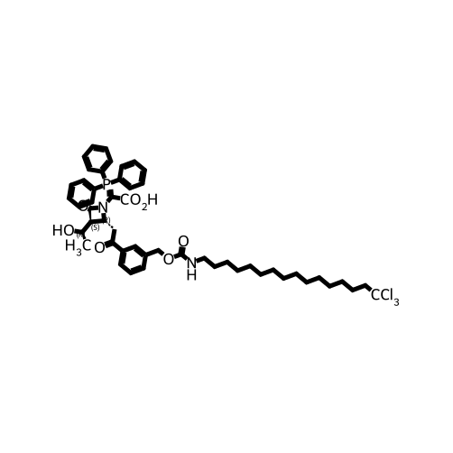 C[C@@H](O)[C@H]1C(=O)N(C(C(=O)O)=P(c2ccccc2)(c2ccccc2)c2ccccc2)[C@@H]1CC(=O)c1cccc(COC(=O)NCCCCCCCCCCCCCCCC(Cl)(Cl)Cl)c1